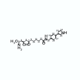 CC(N)/C=C(\O)CC(=O)CCCCCC(=O)NCc1ccc(-c2cc[nH]c2)cc1